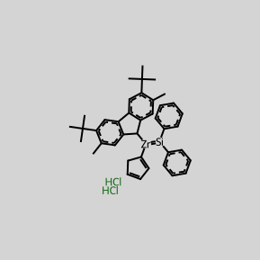 Cc1cc2c(cc1C(C)(C)C)-c1cc(C(C)(C)C)c(C)cc1[CH]2[Zr]([C]1=CC=CC1)=[Si](c1ccccc1)c1ccccc1.Cl.Cl